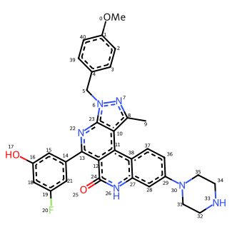 COc1ccc(Cn2nc(C)c3c4c(c(-c5cc(O)cc(F)c5)nc32)c(=O)[nH]c2cc(N3CCNCC3)ccc24)cc1